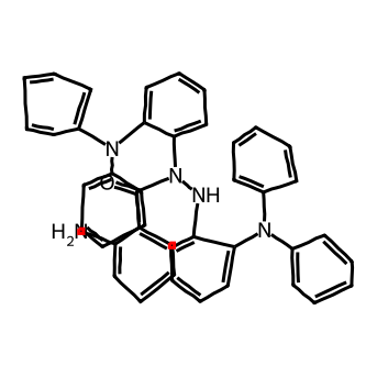 Nc1ccccc1C(=O)N(Nc1ccccc1N(c1ccccc1)c1ccccc1)c1ccccc1N(c1ccccc1)c1ccccc1